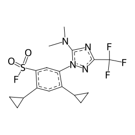 CN(C)c1nc(C(F)(F)F)nn1-c1cc(S(=O)(=O)F)c(C2CC2)cc1C1CC1